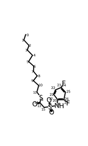 CCCCCCCCCCCCSC(=O)CS(=O)(=O)Nc1ccc(F)cc1F